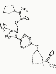 Cc1noc(-c2ccc(OC3CCCC(F)(C(=O)O)C3)cc2)c1COC(=O)N(C)C1CCCC1